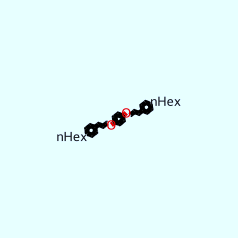 CCCCCCC1CCC(CCCOc2ccc(OCCCC3CCC(CCCCCC)CC3)cc2)CC1